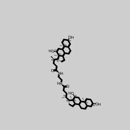 C[C@H](CCC(=O)NCCNC(=O)CC[C@@H](C)[C@H]1CCC2C3CCC4C[C@H](O)CC[C@]4(C)C3C[C@H](O)[C@@]21C)[C@H]1CCC2C3CCC4C[C@H](O)CC[C@]4(C)C3C[C@H](O)[C@@]21C